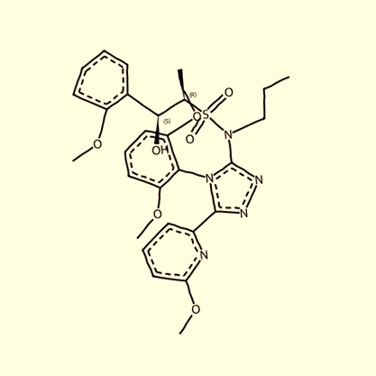 CCCN(c1nnc(-c2cccc(OC)n2)n1-c1c(OC)cccc1OC)S(=O)(=O)[C@H](C)[C@@H](O)c1ccccc1OC